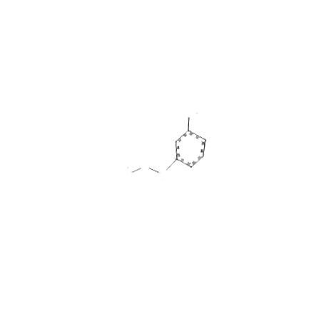 O=Cc1cccc(OOCl)c1